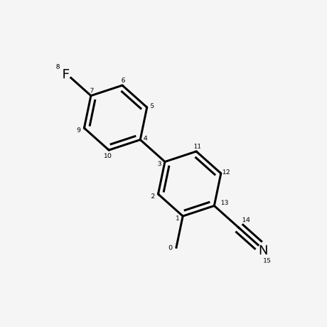 Cc1cc(-c2ccc(F)cc2)ccc1C#N